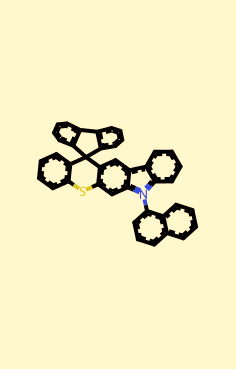 c1ccc2c(c1)Sc1cc3c(cc1C21c2ccccc2-c2ccccc21)c1ccccc1n3-c1cccc2ccccc12